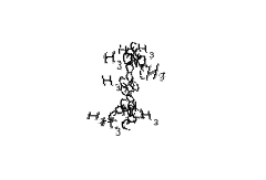 Cc1ccc(C)c(N(c2ccc3cc4c(cc3c2)oc2c(C)c3c(cc24)oc2cc4cc(N(c5cc(C)ccc5C)c5cc(C)ccc5C)ccc4cc23)c2cc(C)ccc2C)c1